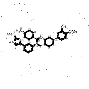 COc1ncc(-c2cccc(N(C[C@H]3CC[C@H](c4ccc(OC)c(C)c4)CC3)C(=O)[C@H]3CC[C@H](C)CC3)c2)s1